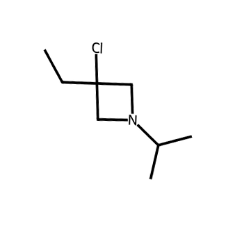 CCC1(Cl)CN(C(C)C)C1